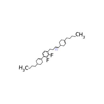 CCCCCC1=CCC(/C=C/CCc2ccc(C3=CCC(CCCC)CC3)c(F)c2F)CC1